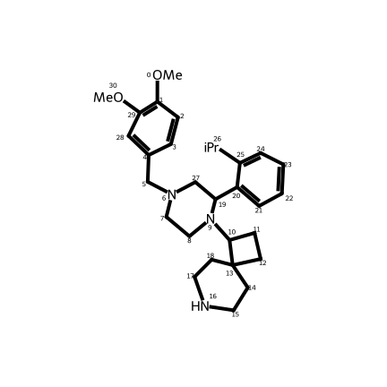 COc1ccc(CN2CCN(C3CCC34CCNCC4)C(c3ccccc3C(C)C)C2)cc1OC